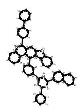 c1ccc(-c2ccc(-c3nc4ccccc4c4c(-c5cccc(-c6nc(-c7ccccc7)nc(-c7ccc8ccccc8c7)n6)c5)c5c(cc34)oc3ccccc35)cc2)cc1